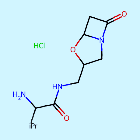 CC(C)C(N)C(=O)NCC1CN2C(=O)CC2O1.Cl